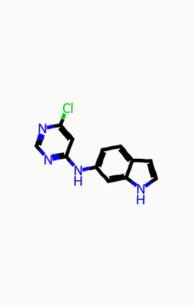 Clc1cc(Nc2ccc3cc[nH]c3c2)ncn1